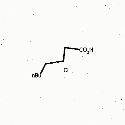 CCCCCCCC(=O)O.[C]